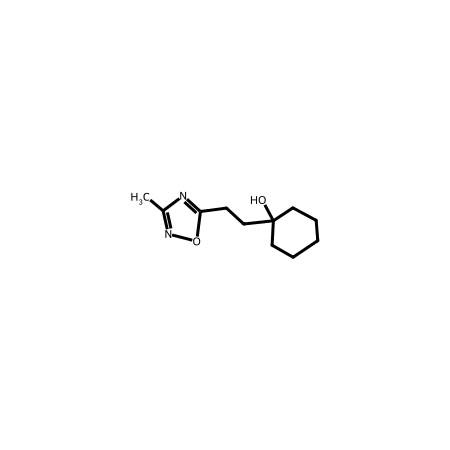 Cc1noc(CCC2(O)CCCCC2)n1